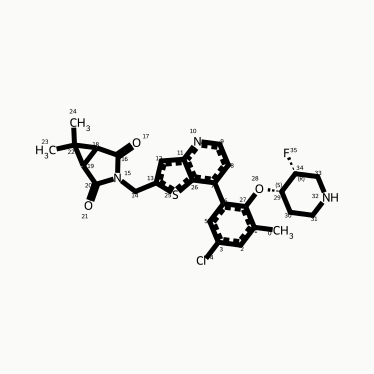 Cc1cc(Cl)cc(-c2ccnc3cc(CN4C(=O)C5C(C4=O)C5(C)C)sc23)c1O[C@H]1CCNC[C@H]1F